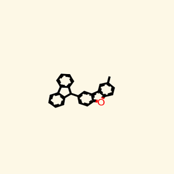 Cc1ccc2oc3ccc(C4c5ccccc5-c5ccccc54)cc3c2c1